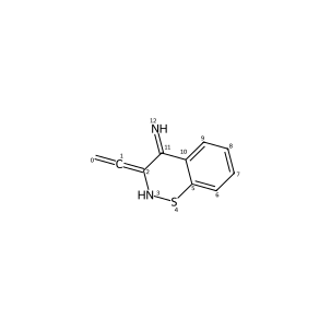 C=C=C1NSc2ccccc2C1=N